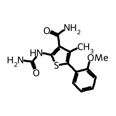 COc1ccccc1-c1sc(NC(N)=O)c(C(N)=O)c1C